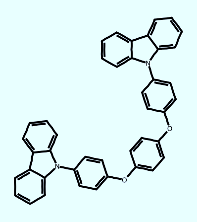 c1ccc2c(c1)c1ccccc1n2-c1ccc(Oc2ccc(Oc3ccc(-n4c5ccccc5c5ccccc54)cc3)cc2)cc1